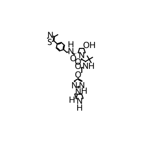 Cc1ncsc1-c1ccc(CNC(=O)[C@@H]2C[C@@H](O)CN2C(=O)[C@@H](NC(=O)COc2cnc(N3C[C@H]4C[C@@H]3CN4)nc2)C(C)(C)C)cc1